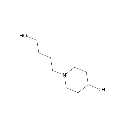 CC1CCN(CCCCO)CC1